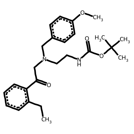 CCc1ccccc1C(=O)CN(CCNC(=O)OC(C)(C)C)Cc1ccc(OC)cc1